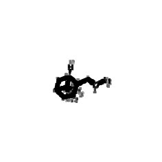 CCOCC1CCC2C[C@@H]1C2(C)C